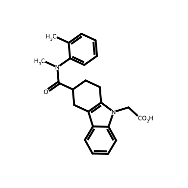 Cc1ccccc1N(C)C(=O)C1CCc2c(c3ccccc3n2CC(=O)O)C1